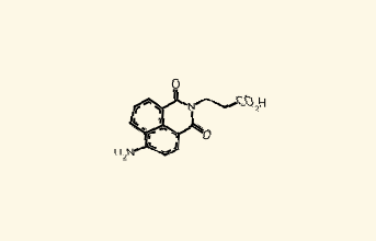 Nc1ccc2c3c(cccc13)C(=O)N(CCC(=O)O)C2=O